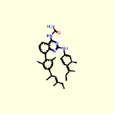 CC/C(C)=C1\C=CC(Nc2nc(NC(N)=O)c3cccc(-c4c(C)cc(C(C)/C=C(\C)CC)cc4C)c3n2)=CC1C